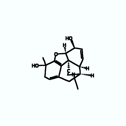 CN1CC[C@]23C4=C5O[C@H]2[C@@H](O)C=C[C@H]3[C@H]1CC4=CCC5(C)O